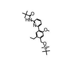 CCc1cc(-c2cccc(NC(=O)C(C)(C)C)n2)c(OC)cc1CO[Si](C)(C)C(C)(C)C